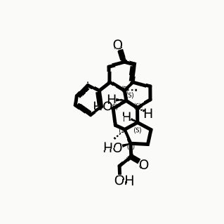 C[C@]12C[C@H](O)[C@H]3[C@@H](CCC4=CC(=O)CC(c5[c]cccc5)[C@@]43C)[C@@H]1CC[C@]2(O)C(=O)CO